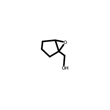 OCC12CCCC1O2